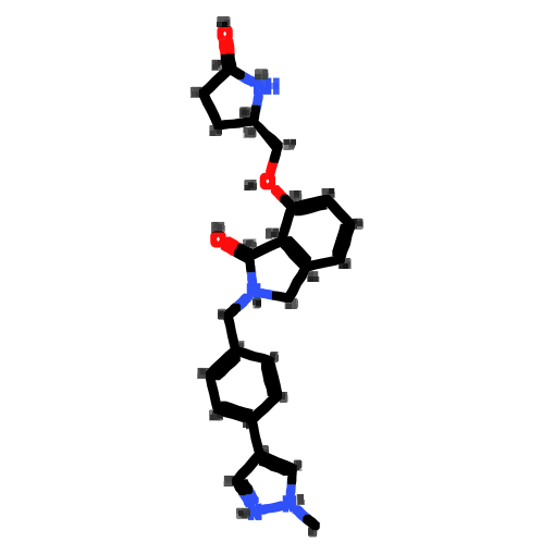 Cn1cc(-c2ccc(CN3Cc4cccc(OC[C@H]5CCC(=O)N5)c4C3=O)cc2)cn1